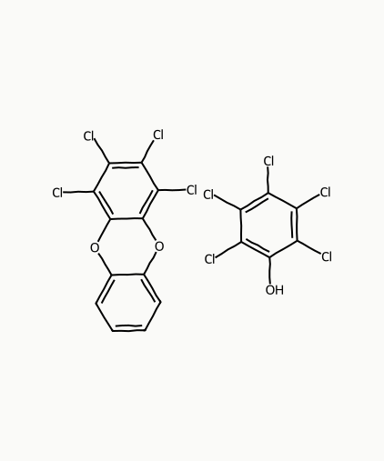 Clc1c(Cl)c(Cl)c2c(c1Cl)Oc1ccccc1O2.Oc1c(Cl)c(Cl)c(Cl)c(Cl)c1Cl